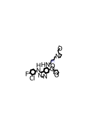 COCC1CCN1C/C=C/C(=O)Nc1cc2c(Nc3ccc(F)c(Cl)c3)ncnc2cc1O[C@H]1CCOC1